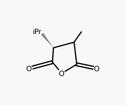 CC(C)[C@H]1C(=O)OC(=O)C1C